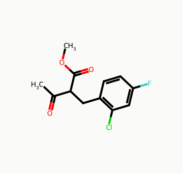 COC(=O)C(Cc1ccc(F)cc1Cl)C(C)=O